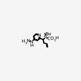 C=CCC(c1cc(NN)ccn1)N(C(=O)O)C(C)(C)C